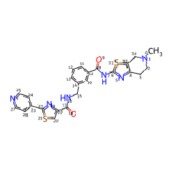 CN1CCc2nc(NC(=O)c3cccc(CNC(=O)c4csc(-c5ccncc5)n4)c3)sc2C1